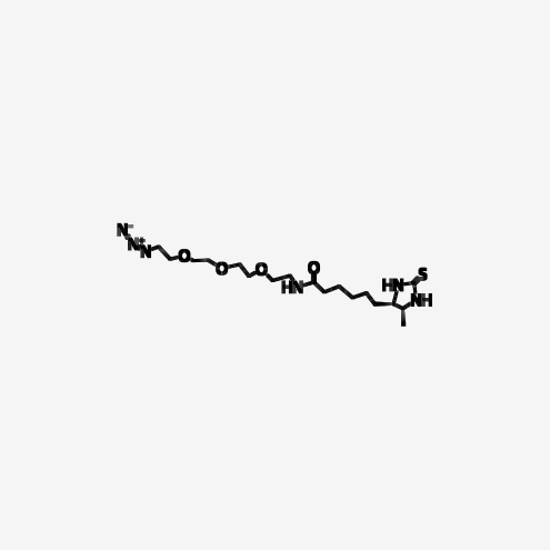 C[C@@H]1NC(=S)N[C@@H]1CCCCCC(=O)NCCOCCOCCOCCN=[N+]=[N-]